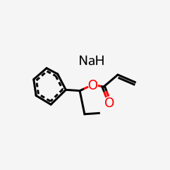 C=CC(=O)OC(CC)c1ccccc1.[NaH]